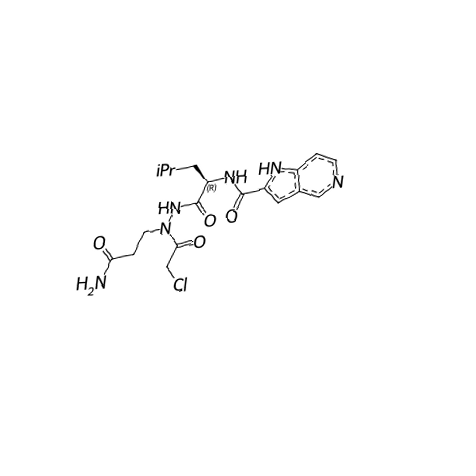 CC(C)C[C@@H](NC(=O)c1cc2cnccc2[nH]1)C(=O)NN(CCC(N)=O)C(=O)CCl